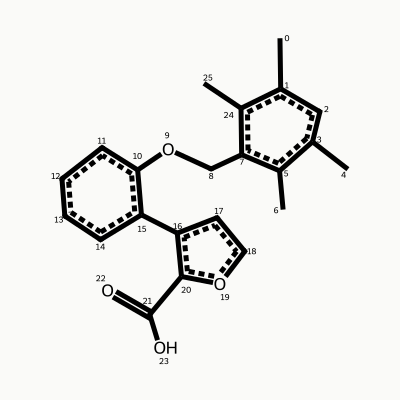 Cc1cc(C)c(C)c(COc2ccccc2-c2ccoc2C(=O)O)c1C